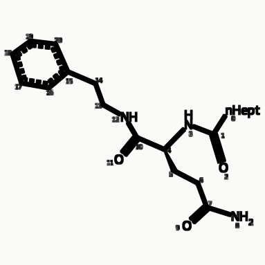 CCCCCCCC(=O)N[C@@H](CCC(N)=O)C(=O)NCCc1ccccc1